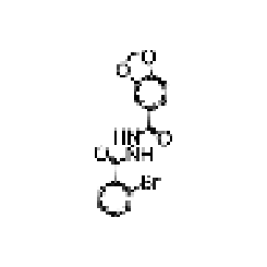 O=C(NNC(=O)c1ccccc1Br)c1ccc2c(c1)OCO2